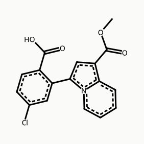 COC(=O)c1cc(-c2cc(Cl)ccc2C(=O)O)n2ccccc12